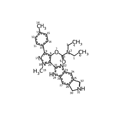 CCN(CC)C(=O)Oc1c(-c2ccc(C)cc2)nn(C)c1-c1nc2cc3c(cc2[nH]1)CNC3